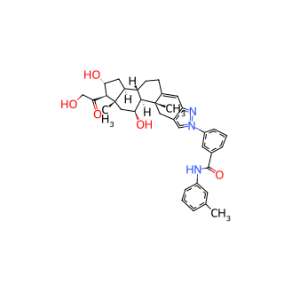 Cc1cccc(NC(=O)c2cccc(-n3cc4c(n3)C=C3CC[C@@H]5[C@H]([C@@H](O)C[C@@]6(C)[C@H]5C[C@@H](O)[C@@H]6C(=O)CO)[C@@]3(C)C4)c2)c1